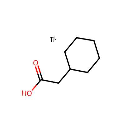 O=C(O)CC1CCCCC1.[Tl]